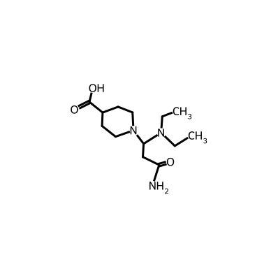 CCN(CC)C(CC(N)=O)N1CCC(C(=O)O)CC1